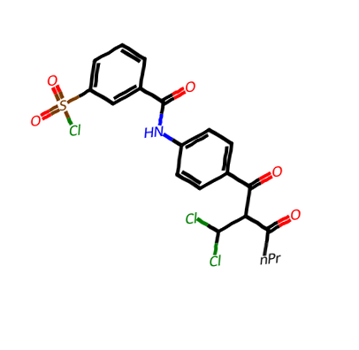 CCCC(=O)C(C(=O)c1ccc(NC(=O)c2cccc(S(=O)(=O)Cl)c2)cc1)C(Cl)Cl